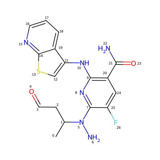 CC(CC=O)N(N)c1nc(Nc2csc3ncccc23)c(C(N)=O)cc1F